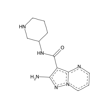 Nc1nn2cccnc2c1C(=O)NC1CCCNC1